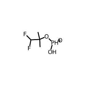 CC(C)(O[PH](=O)O)C(F)F